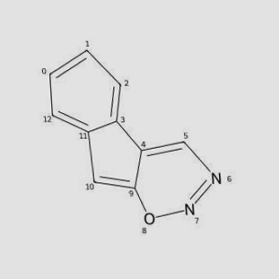 c1ccc2c3cnnoc-3cc2c1